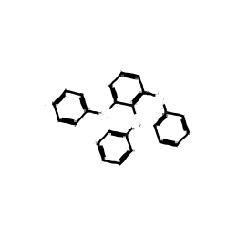 [c]1cc(Sc2ccccc2)c(Sc2ccccc2)c(Sc2ccccc2)c1